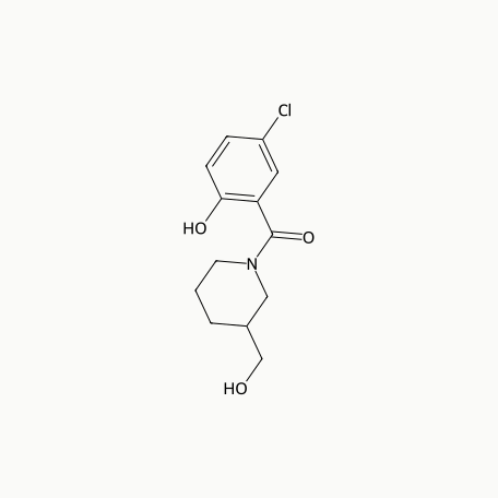 O=C(c1cc(Cl)ccc1O)N1CCCC(CO)C1